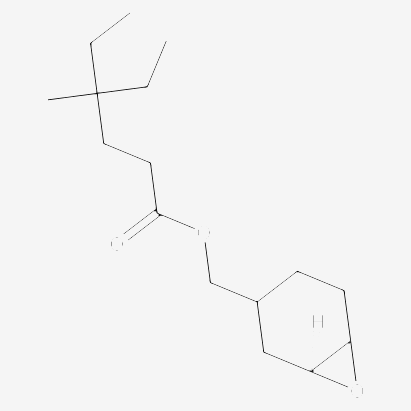 CCC(C)(CC)CCC(=O)OCC1CCC2O[C@H]2C1